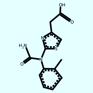 Cc1ccccc1N(C(N)=O)c1nc(CC(=O)O)cs1